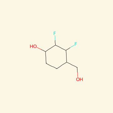 OCC1CCC(O)C(F)C1F